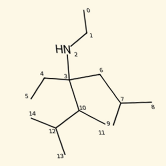 CCNC(CC)(CC(C)C)C(C)C(C)C